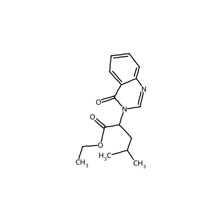 CCOC(=O)C(CC(C)C)n1cnc2ccccc2c1=O